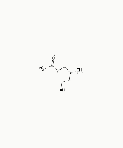 C[C@H](CCO)CCC(N)=O